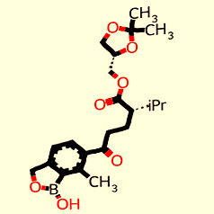 Cc1c(C(=O)CC[C@H](C(=O)OC[C@@H]2COC(C)(C)O2)C(C)C)ccc2c1B(O)OC2